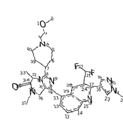 COCCN1CCC(c2nc(-c3cccc4nc(-c5cnn(C)c5)c(C(F)F)cc34)c3n2C(C)C(=O)N(C)C3)CC1